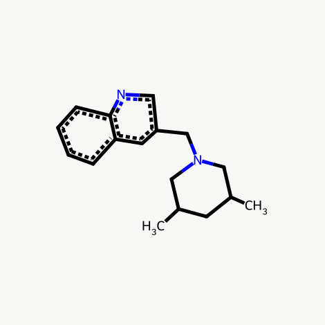 CC1CC(C)CN(Cc2cnc3ccccc3c2)C1